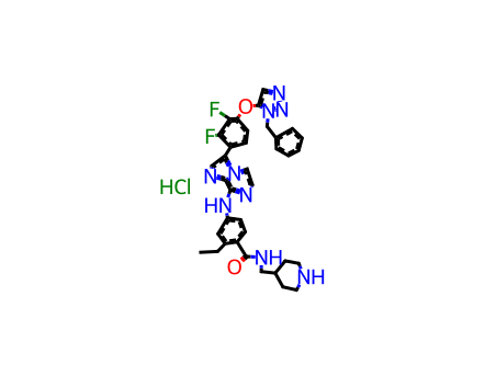 CCc1cc(Nc2nccn3c(-c4ccc(Oc5cnnn5Cc5ccccc5)c(F)c4F)cnc23)ccc1C(=O)NCC1CCNCC1.Cl